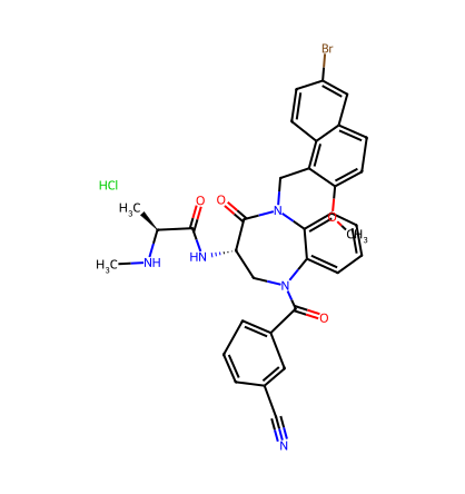 CN[C@@H](C)C(=O)N[C@H]1CN(C(=O)c2cccc(C#N)c2)c2ccccc2N(Cc2c(OC)ccc3cc(Br)ccc23)C1=O.Cl